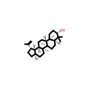 C=C(C)[C@H]1CC[C@]2(C(C)=O)CC[C@@]3(C)[C@H](CC[C@H]4[C@@]5(C)CC[C@H](O)C(C)(C)[C@H]5CC[C@]43C)[C@H]12